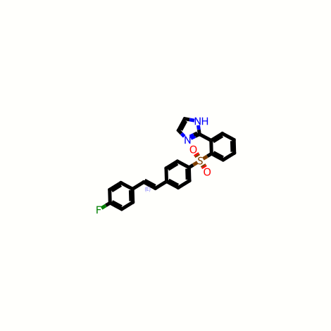 O=S(=O)(c1ccc(/C=C/c2ccc(F)cc2)cc1)c1ccccc1-c1ncc[nH]1